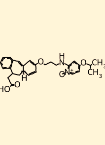 CC(C)Oc1cc[n+]([O-])c(NCCCOC2=CC3=Cc4ccccc4C(CC(=O)O)C[C@H]3C=C2)c1